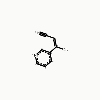 N#C/C=C(/Cl)c1cccnc1